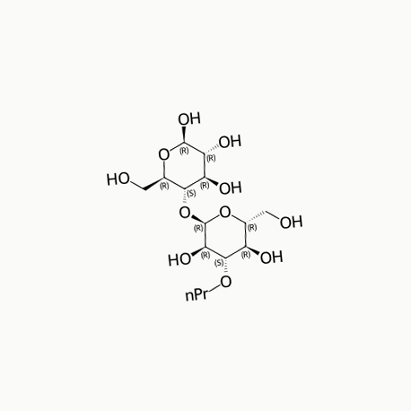 CCCO[C@@H]1[C@@H](O)[C@@H](O[C@H]2[C@H](O)[C@@H](O)[C@H](O)O[C@@H]2CO)O[C@H](CO)[C@H]1O